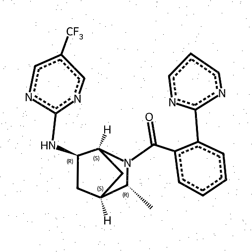 C[C@@H]1[C@H]2C[C@@H](Nc3ncc(C(F)(F)F)cn3)[C@H](C2)N1C(=O)c1ccccc1-c1ncccn1